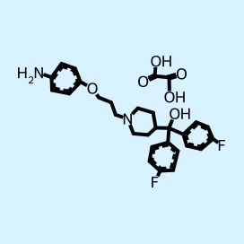 Nc1ccc(OCCCN2CCC(C(O)(c3ccc(F)cc3)c3ccc(F)cc3)CC2)cc1.O=C(O)C(=O)O